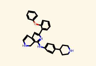 C1=Cc2cc(-c3ccccc3Oc3ccccc3)nc(Nc3ccc(C4CCNCC4)cc3)c2CN1